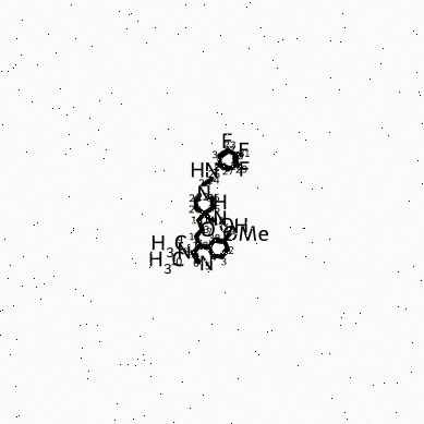 COc1ccc2ncc(N(C)C)c(CCCC3(C(=O)NO)CCN(CCNc4cc(F)c(F)c(F)c4)CC3)c2c1